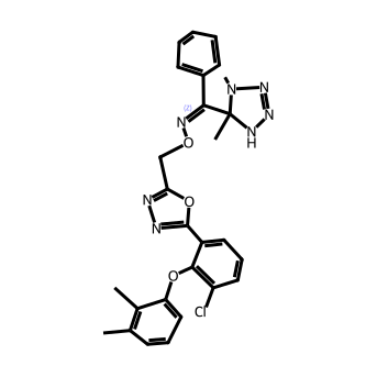 Cc1cccc(Oc2c(Cl)cccc2-c2nnc(CO/N=C(/c3ccccc3)C3(C)NN=NN3C)o2)c1C